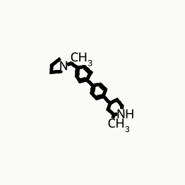 CC1CC(c2ccc(-c3ccc(C(C)N4CCCC4)cc3)cc2)CCN1